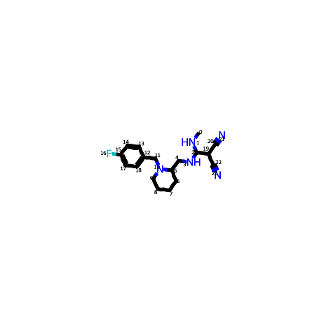 CNC(NCC1CCCCN1Cc1ccc(F)cc1)C(C#N)C#N